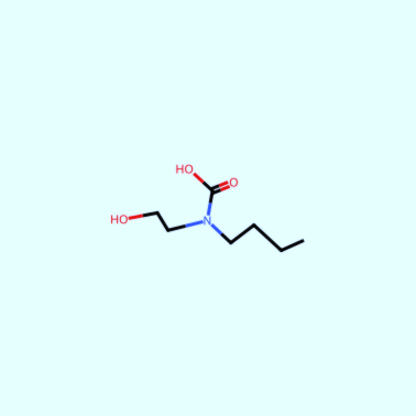 CCCCN(CCO)C(=O)O